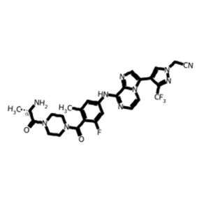 Cc1cc(Nc2nccn3c(-c4cn(CC#N)nc4C(F)(F)F)cnc23)cc(F)c1C(=O)N1CCN(C(=O)[C@H](C)N)CC1